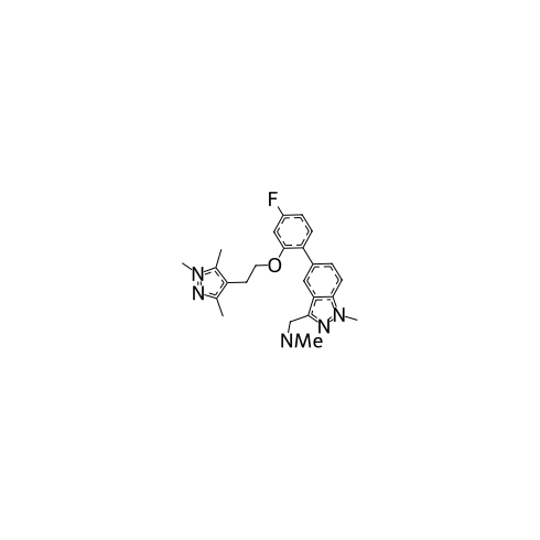 CNCc1nn(C)c2ccc(-c3ccc(F)cc3OCCc3c(C)nn(C)c3C)cc12